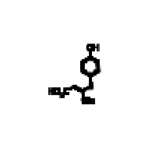 CC(C)(C)C(=CC(=O)O)Sc1ccc(O)cc1